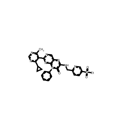 CCS(=O)(=O)c1ccc(CNc2nc3cnc(-c4c(C)ncnc4C4CC4)nc3n(-c3ccccc3)c2=O)nc1